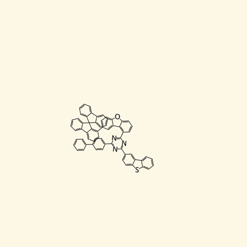 c1ccc(-c2ccc(-c3nc(-c4ccc5sc6ccccc6c5c4)nc(-c4cccc5oc6ccc(-c7cccc8c7C7(c9ccccc9-c9ccccc97)c7ccccc7-8)cc6c45)n3)cc2)cc1